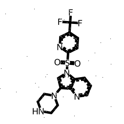 O=S(=O)(c1ccc(C(F)(F)F)cn1)n1cc(N2CCNCC2)c2ncccc21